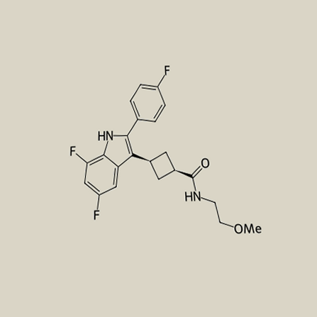 COCCNC(=O)[C@H]1C[C@@H](c2c(-c3ccc(F)cc3)[nH]c3c(F)cc(F)cc32)C1